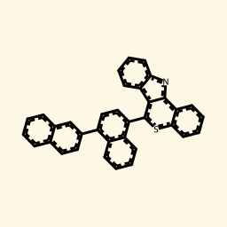 c1ccc2cc(-c3ccc(-c4sc5ccccc5c5nc6ccccc6c4-5)c4ccccc34)ccc2c1